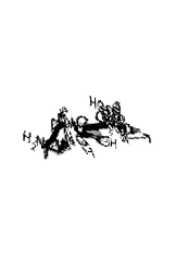 C[C@@H](OP(=O)(O)OP(=O)(O)OP(=O)(O)O)C1OC(n2cnc3c(N)ncnc32)C(O)C1O